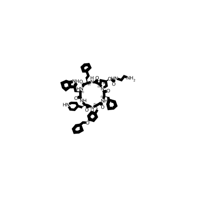 NCCNC(=O)O[C@@H]1C[C@H]2C(=O)N[C@H](CCc3ccccc3)C(=O)N[C@H](Cc3c[nH]c4ccccc34)C(=O)N[C@@H](CC3CCNCC3)C(=O)N[C@@H](Cc3ccc(OCc4ccccc4)cc3)C(=O)N[C@@H](Cc3ccccc3)C(=O)N2C1